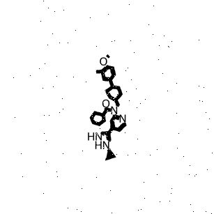 COc1ccc(C2CCC(CN(C(=O)C3CCCCC3)c3cc(/C(C=N)=C/NC4CC4)ccn3)CC2)cc1C